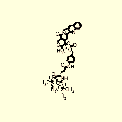 CC[C@@]1(OC(=O)OCc2ccc(NC(=O)CC[C@H](NC(=O)OC(C)(C)C)C(=O)OC(C)(C)C)cc2)C(=O)OCc2c1cc1n(c2=O)Cc2cc3ccccc3nc2-1